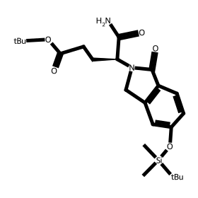 CC(C)(C)OC(=O)CC[C@@H](C(N)=O)N1Cc2cc(O[Si](C)(C)C(C)(C)C)ccc2C1=O